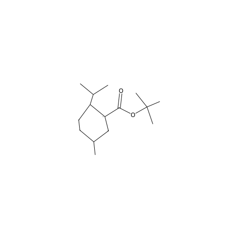 CC1CCC(C(C)C)[C](C(=O)OC(C)(C)C)C1